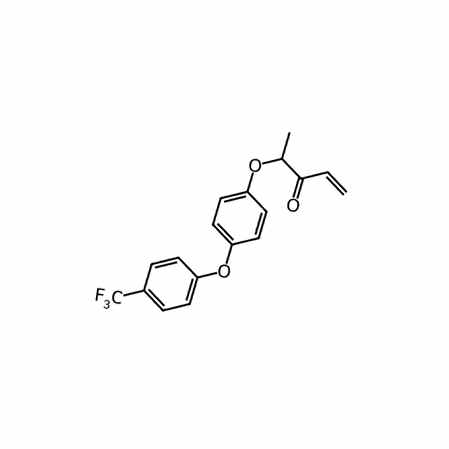 C=CC(=O)C(C)Oc1ccc(Oc2ccc(C(F)(F)F)cc2)cc1